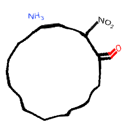 N.O=C1CCCCCCCCCCC1[N+](=O)[O-]